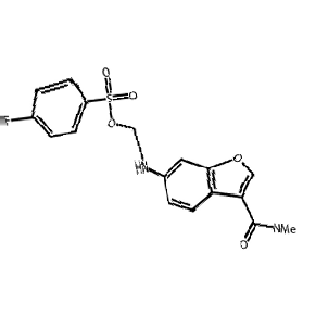 CNC(=O)c1coc2cc(NCOS(=O)(=O)c3ccc(F)cc3)ccc12